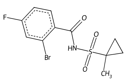 CC1(S(=O)(=O)NC(=O)c2ccc(F)cc2Br)CC1